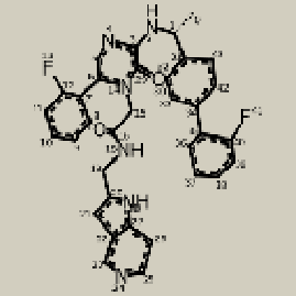 C[C@@H](Nc1ncc(-c2ccccc2F)n(CC(=O)NCc2cc3cnccc3[nH]2)c1=O)c1ccc(-c2ccccc2F)cc1